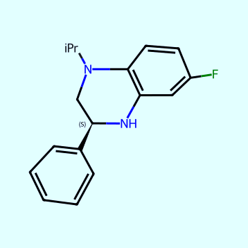 CC(C)N1C[C@H](c2ccccc2)Nc2cc(F)ccc21